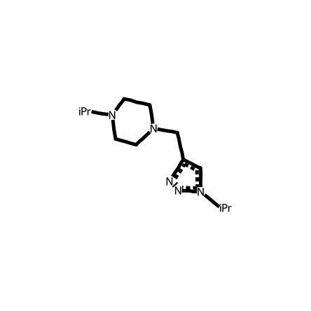 CC(C)N1CCN(Cc2cn(C(C)C)nn2)CC1